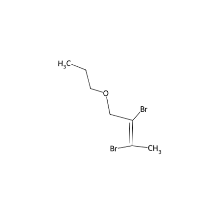 CCCOCC(Br)=C(C)Br